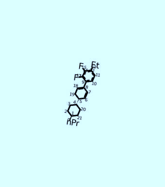 CCC[C@H]1CC[C@H](C2C=CC(c3ccc(CC)c(F)c3F)=CC2)CC1